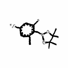 Cc1cc(C(F)(F)F)cc(F)c1B1OC(C)(C)C(C)(C)O1